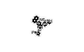 C=CC(=N)N1CCN(c2nc(OC[C@@H]3CCCN3C(C)C)nc3c2CCN(c2cccc4ccccc24)C3)C[C@@H]1CC#N